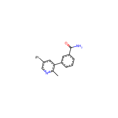 Cc1ncc(C(C)C)cc1-c1cccc(C(N)=O)c1